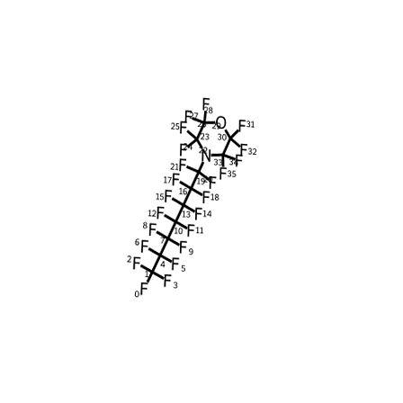 FC(F)(F)C(F)(F)C(F)(F)C(F)(F)C(F)(F)C(F)(F)C(F)(F)N1C(F)(F)C(F)(F)OC(F)(F)C1(F)F